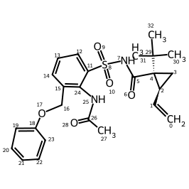 C=C[C@@H]1C[C@@]1(C(=O)NS(=O)(=O)c1cccc(COc2ccccc2)c1NC(C)=O)C(C)(C)C